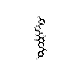 O=C[C@H](CNc1nccc(Cl)n1)NC(=O)c1c(Cl)cc2c(c1Cl)CCN(C(=O)c1ccc(Cl)cc1)C2